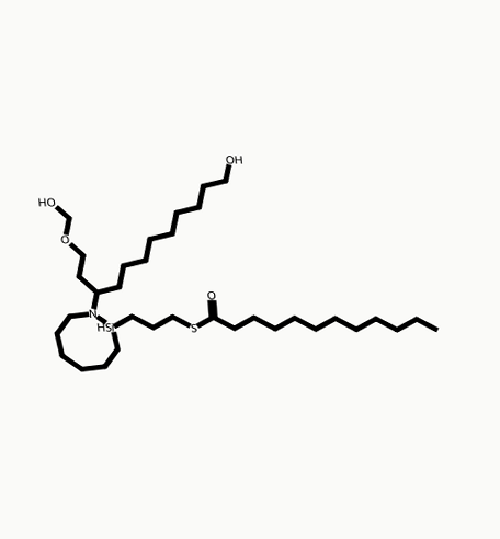 CCCCCCCCCCCC(=O)SCCC[SiH]1CCCCCCN1C(CCCCCCCCCO)CCOCO